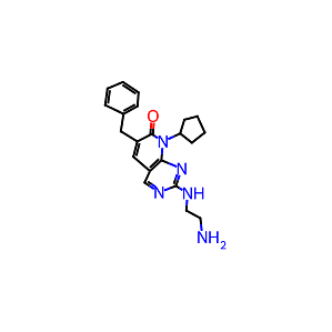 NCCNc1ncc2cc(Cc3ccccc3)c(=O)n(C3CCCC3)c2n1